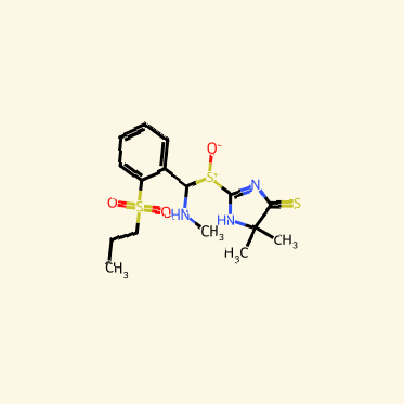 CCCS(=O)(=O)c1ccccc1C(NC)[S+]([O-])C1=NC(=S)C(C)(C)N1